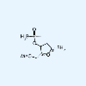 B[C@H]1CC(OP(B)(C)=O)[C@@H](COC)O1